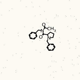 CC(=O)N(Cc1ccccc1)C(=O)C1CCCN1Cc1ccccc1